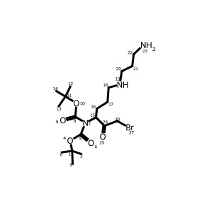 CC(C)(C)OC(=O)N(C(=O)OC(C)(C)C)C(CCCNCCCN)C(=O)CBr